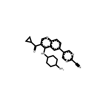 N#Cc1ncc(-c2ccc3ncc(C(=O)C4CC4)c(NC4CCC(N)CC4)c3c2)cn1